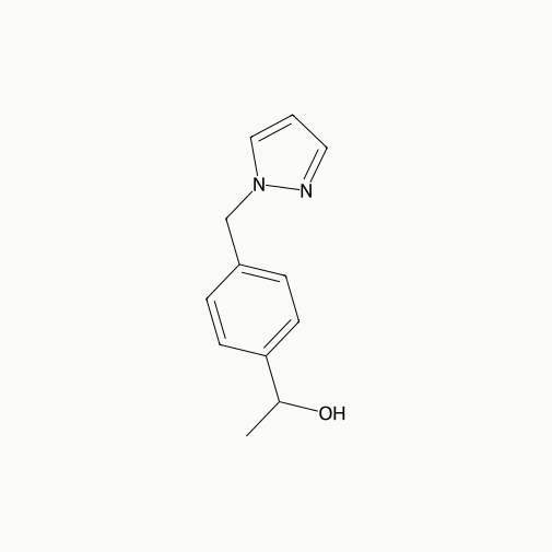 CC(O)c1ccc(Cn2cccn2)cc1